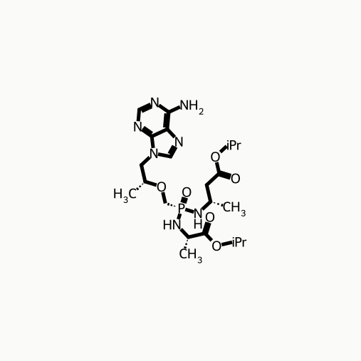 CC(C)OC(=O)C[C@H](C)N[P@@](=O)(CO[C@H](C)Cn1cnc2c(N)ncnc21)N[C@@H](C)C(=O)OC(C)C